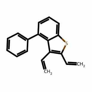 C=Cc1sc2cccc(-c3ccccc3)c2c1C=C